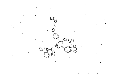 CCOCCOc1ccc(C2C(C(=O)O)C(c3ccc4c(c3)OCO4)CN2CC(=O)Nc2c(CC)cccc2CC)cc1